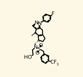 C[C@@H]1C2=C(CC[C@@H]2CN(CCO)S(=O)(=O)Cc2cccc(C(F)(F)F)c2)Cc2c1cnn2-c1ccc(F)cc1